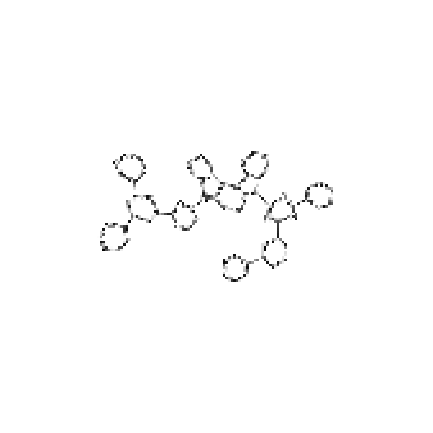 c1ccc(-c2cccc(-c3nc(-c4ccccc4)nc(-n4c5ccccc5c5c6c7ccccc7n(-c7cccc(-c8cc(-c9ccccc9)nc(-c9ccccc9)c8)c7)c6ccc54)n3)c2)cc1